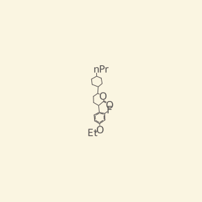 CCCC1CCC(C2CCC(c3ccc(OCC)cc3F)C(=O)O2)CC1